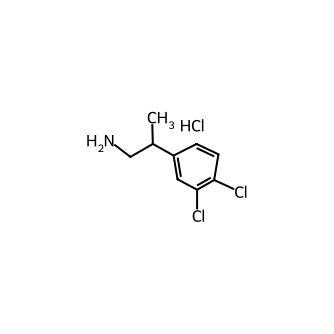 CC(CN)c1ccc(Cl)c(Cl)c1.Cl